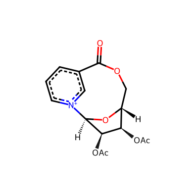 CC(=O)O[C@@H]1[C@H](OC(C)=O)[C@H]2COC(=O)c3ccc[n+](c3)[C@H]1O2